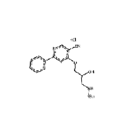 CC(C)(C)NCC(O)COc1nc(-c2ccccc2)ncc1C#N.Cl